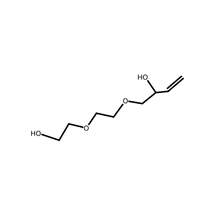 C=CC(O)COCCOCCO